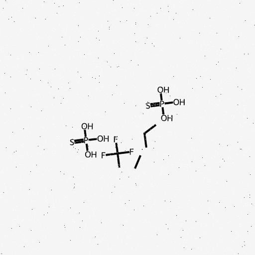 CC.CC(F)(F)F.CCC.OP(O)(O)=S.OP(O)(O)=S